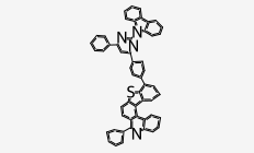 c1ccc(-c2cc(-c3ccc(-c4cccc5c4sc4ccc6c(-c7ccccc7)nc7ccccc7c6c45)cc3)nc(-n3c4ccccc4c4ccccc43)n2)cc1